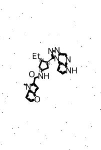 CC[C@@H]1C[C@H](NC(=O)c2cc3occc3n2C)C[C@@H]1c1nnc2cnc3[nH]ccc3n12